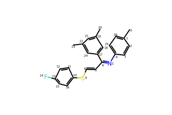 Cc1ccc(N=C(C=CSc2ccc(F)cc2)c2cc(C)cc(C)c2)cc1